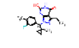 CC1([C@@H](c2ccc(C(F)(F)F)c(F)c2)n2nc(CC(F)(F)F)c3c(=O)[nH]c(O)nc32)CC1